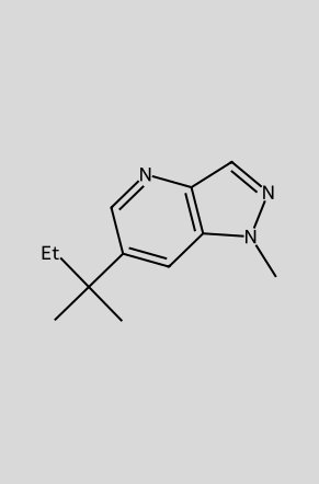 CCC(C)(C)c1cnc2cnn(C)c2c1